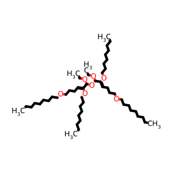 CCCCCCCCCOCCCC=C(OCCCCCCCCC)C(OCC)OC(OCC)C(=CCCCOCCCCCCCCC)OCCCCCCCCC